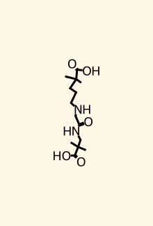 CC(C)(CCCNCC(=O)NCC(C)(C)C(=O)O)C(=O)O